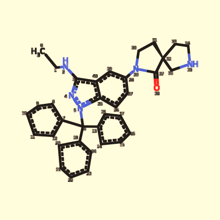 CCNc1nn(C(c2ccccc2)(c2ccccc2)c2ccccc2)c2ccc(N3CC[C@]4(CCNC4)C3=O)cc12